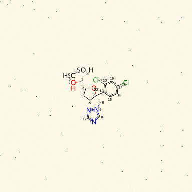 CS(=O)(=O)O.OC[C@H]1CC[C@](Cn2cncn2)(c2ccc(Cl)cc2Cl)O1